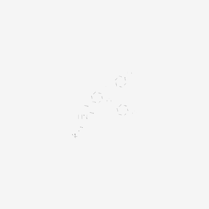 COc1ccc(COc2ccc(C(=O)C(=O)NCC34CCN(CC3)CC4)cc2OCc2ccc(OC)cc2)cc1